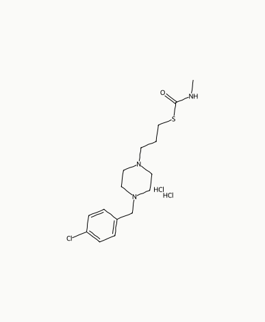 CNC(=O)SCCCN1CCN(Cc2ccc(Cl)cc2)CC1.Cl.Cl